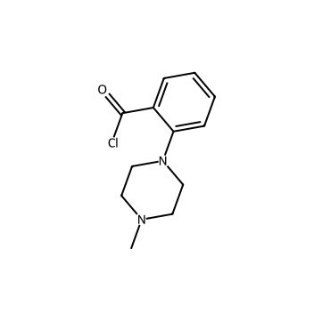 CN1CCN(c2ccccc2C(=O)Cl)CC1